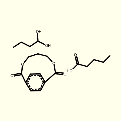 CCCC(O)O.CCCCC(=O)O.O=C1OCCCOC(=O)c2ccc1cc2